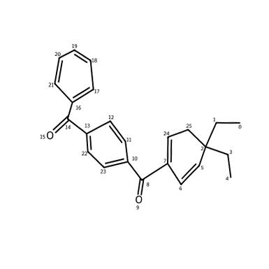 CCC1(CC)C=CC(C(=O)c2ccc(C(=O)c3ccccc3)cc2)=CC1